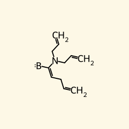 [B]C(=CCC=C)N(CC=C)CC=C